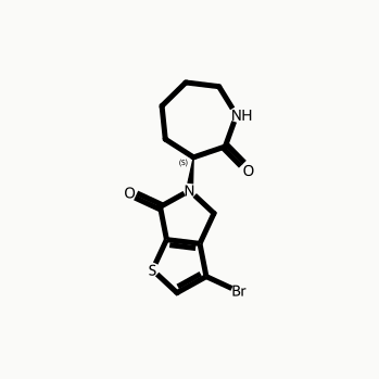 O=C1NCCCC[C@@H]1N1Cc2c(Br)csc2C1=O